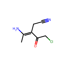 CC(N)=C(CC#N)C(=O)CCl